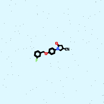 N#CC1CC(=O)N(c2ccc(OCc3cccc(F)c3)cc2)C1